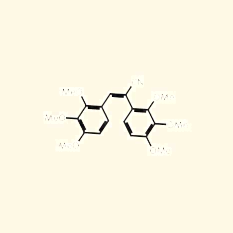 COc1ccc(C=C(C#N)c2ccc(OC)c(OC)c2OC)c(OC)c1OC